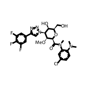 CO[C@@H]1[C@@H](n2cc(-c3cc(F)c(F)c(F)c3)nn2)[C@@H](O)[C@@H](CO)O[C@H]1C(=O)N(C)c1cc(Cl)ccc1N(C)C